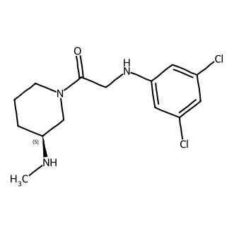 CN[C@H]1CCCN(C(=O)CNc2cc(Cl)cc(Cl)c2)C1